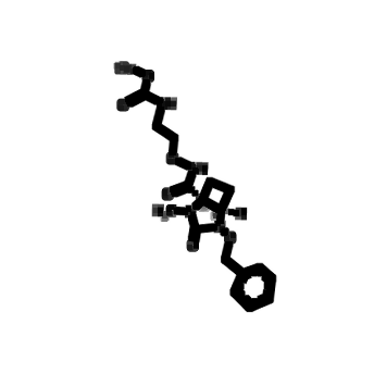 CN1C(=O)N(OCc2ccccc2)[C@@H]2CC[C@@]21C(=O)NOCCNC(=O)OC(C)(C)C